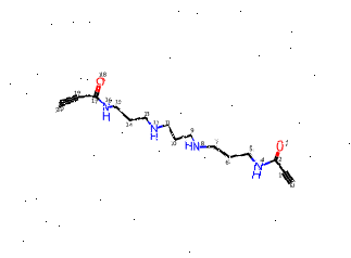 C#CC(=O)NCCCNCCCNCCCNC(=O)C#C